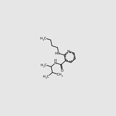 CCCCNc1ncccc1C(=O)NC(C)C(C)C